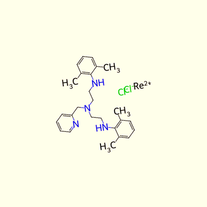 Cc1cccc(C)c1NCCN(CCNc1c(C)cccc1C)Cc1ccccn1.[Cl-].[Cl-].[Re+2]